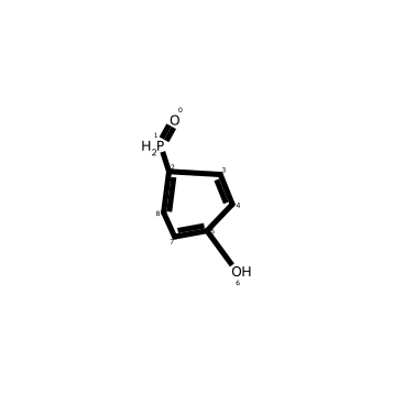 O=[PH2]c1ccc(O)cc1